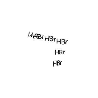 Br.Br.Br.Br.Br.[Mo]